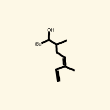 C=CC(C)=CCC(C)C(O)C(C)CC